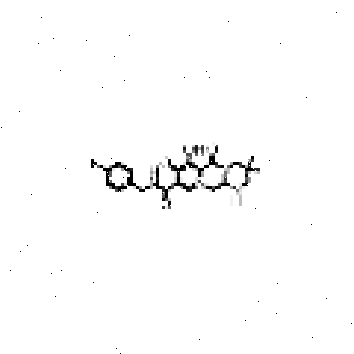 CC1(C)CNC2Cn3cc(C(=O)NCc4ccc(F)cc4)c(=O)c(O)c3C(=O)N2C1